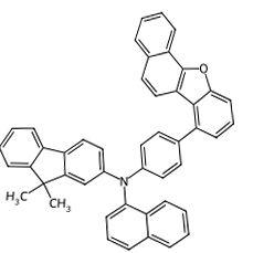 CC1(C)c2ccccc2-c2ccc(N(c3ccc(-c4cccc5oc6c7ccccc7ccc6c45)cc3)c3cccc4ccccc34)cc21